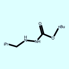 CCCCOC(=O)NNCC(C)C